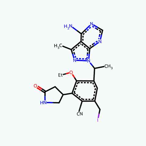 CCOc1c(C(C)n2nc(C)c3c(N)ncnc32)cc(CI)c(C#N)c1C1CNC(=O)C1